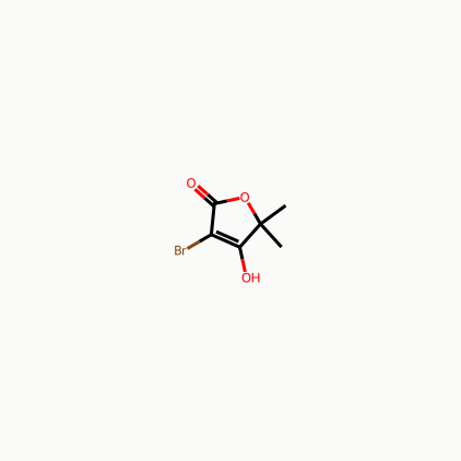 CC1(C)OC(=O)C(Br)=C1O